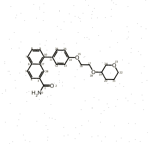 NC(=O)c1ccc2cccc(-c3ccc(OCCOC4CCCOC4)cc3)c2c1